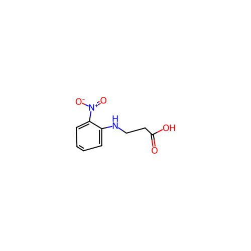 O=C(O)CCNc1ccccc1[N+](=O)[O-]